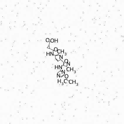 Cc1nc(-c2onc(C)c2Nc2cncc(OC(C)C)n2)ccc1NC(=O)C1CC1C(=O)O